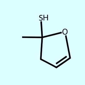 CC1(S)CC=CO1